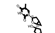 Cc1cn([C@H]2CC3C[C@@]3(C3(O)CC=CC3)O2)c(=O)[nH]c1=O